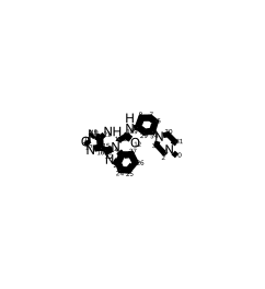 CN1CCN(c2cccc(NC(=O)Cn3c(-c4nonc4N)nc4ccccc43)c2)CC1